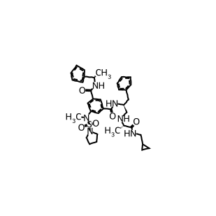 C[C@H](NC[C@H](Cc1ccccc1)NC(=O)c1cc(C(=O)N[C@H](C)c2ccccc2)cc(N(C)S(=O)(=O)N2CCCC2)c1)C(=O)NCC1CC1